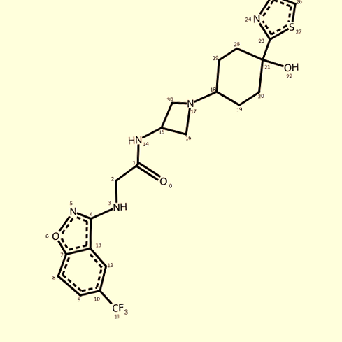 O=C(CNc1noc2ccc(C(F)(F)F)cc12)NC1CN(C2CCC(O)(c3nccs3)CC2)C1